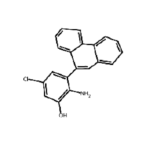 Nc1c(O)cc(Cl)cc1-c1cc2ccccc2c2ccccc12